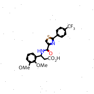 COc1cccc(C(CC(=O)O)NC(=O)c2csc(-c3ccc(C(F)(F)F)cc3)n2)c1OC